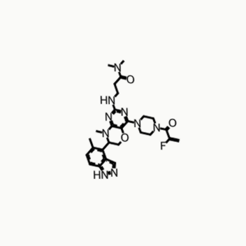 C=C(F)C(=O)N1CCN(c2nc(NCCC(=O)N(C)C)nc3c2OCC(c2c(C)ccc4[nH]ncc24)N3C)CC1